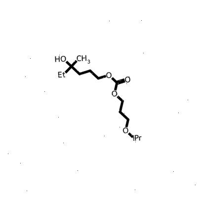 CCC(C)(O)CCCOC(=O)OCCCOC(C)C